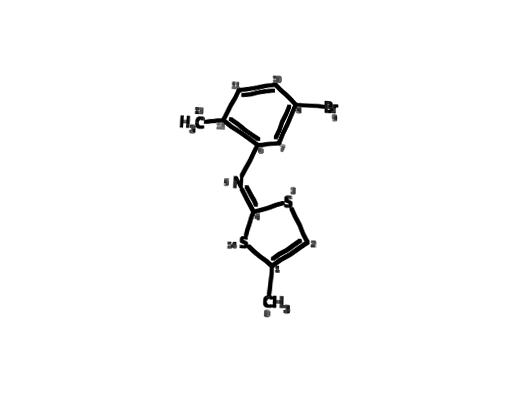 Cc1csc(=Nc2cc(Br)ccc2C)s1